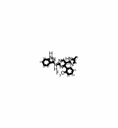 Cc1cnc(-c2cnc(Nc3n[nH]c4ccccc34)nc2-c2ccccc2C(F)(F)F)[nH]1